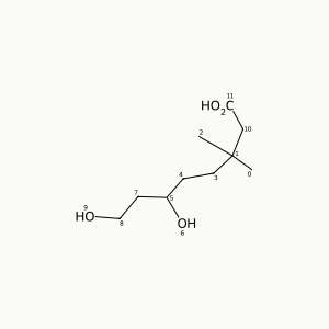 CC(C)(CCC(O)CCO)CC(=O)O